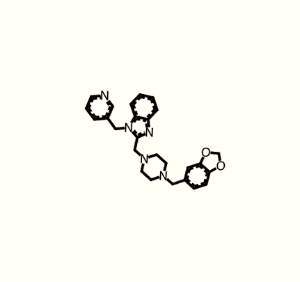 c1cncc(Cn2c(CN3CCN(Cc4ccc5c(c4)OCO5)CC3)nc3ccccc32)c1